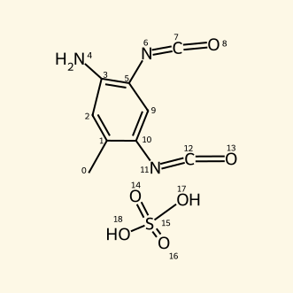 Cc1cc(N)c(N=C=O)cc1N=C=O.O=S(=O)(O)O